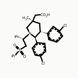 CC(C)[C@@H](CS(=O)(=O)C(C)C)N1C[C@@](C)(CC(=O)O)C[C@H](c2cccc(Cl)c2)[C@H]1c1ccc(Cl)cc1